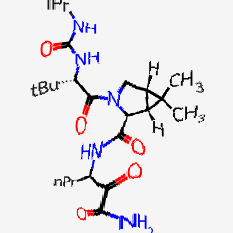 CCCC(NC(=O)[C@@H]1[C@@H]2[C@H](CN1C(=O)[C@@H](NC(=O)NC(C)C)C(C)(C)C)C2(C)C)C(=O)C(N)=O